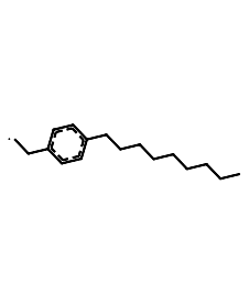 [CH2]Cc1ccc(CCCCCCCCC)cc1